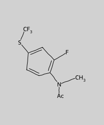 CC(=O)N(C)c1ccc(SC(F)(F)F)cc1F